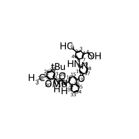 C#Cc1cc(CO)cc(Nc2cc(Oc3ccc(NC(=O)Nc4cc(C(C)(C)C)cc(C)c4OC)c4ccccc34)ccn2)c1